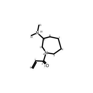 C=CC(=O)N1CCCCC(N(C)C)C1